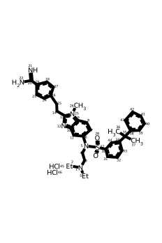 CCN(CC)CCN(c1ccc2c(c1)nc(CCc1ccc(C(=N)N)cc1)n2C)S(=O)(=O)c1cccc(C(C)(C)c2ccccc2)c1.Cl.Cl